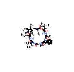 C/C=C(\C)C(CC)C(C)C1C/C=C(\C)C(=O)OC(CC(C)C)C(=O)NC(C)C(=O)N(C)C(Cc2ccccc2)C(=O)N(C)CC(=O)NC(C(C)CC)C(=O)NC(C)C(=O)C1